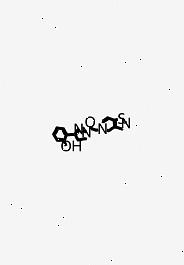 O=C(CN1C=Cc2sncc2C1)N1CCC(c2ccccc2O)=N1